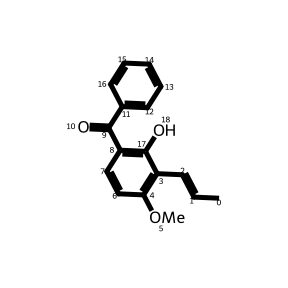 CC=Cc1c(OC)ccc(C(=O)c2ccccc2)c1O